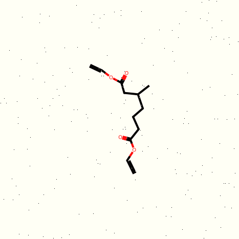 C=COC(=O)CCCC(C)CC(=O)OC=C